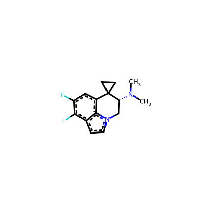 CN(C)[C@@H]1Cn2ccc3c(F)c(F)cc(c32)C12CC2